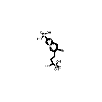 O=P(O)(O)c1cn2cc(CCC(O)P(=O)(O)O)c(Br)cc2n1